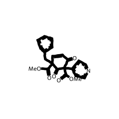 COC(=O)C1(Cc2ccccc2)C=CC(=O)C(C(=O)OC)(c2ccncc2)C1=O